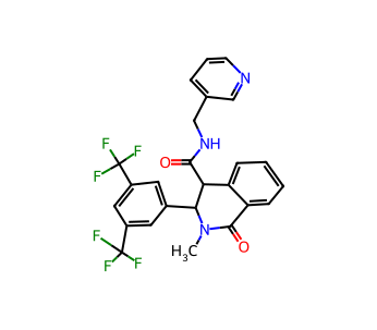 CN1C(=O)c2ccccc2C(C(=O)NCc2cccnc2)C1c1cc(C(F)(F)F)cc(C(F)(F)F)c1